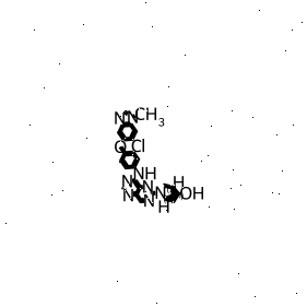 Cn1cnc2cc(Oc3ccc(Nc4ncnc5cnc(N6C[C@@H]7C[C@H]6C[C@H]7O)nc45)cc3Cl)ccc21